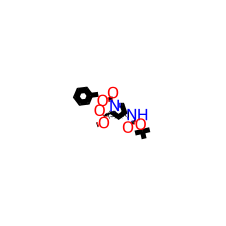 COC(=O)[C@@H]1C[C@@H](NC(=O)OC(C)(C)C)CN1C(=O)OCc1ccccc1